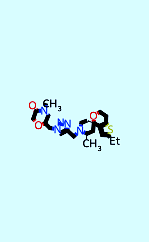 CCc1cc2c(s1)CCO[C@@]21CCN(Cc2cn(CC3CN(C)C(=O)CO3)nn2)[C@@H](C)C1